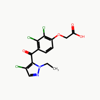 CCn1ncc(Cl)c1C(=O)c1ccc(OCC(=O)O)c(Cl)c1Cl